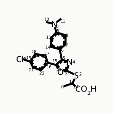 CC(Sc1nc(-c2ccc(N(C)C)cc2)c(-c2ccc(Cl)cc2)o1)C(=O)O